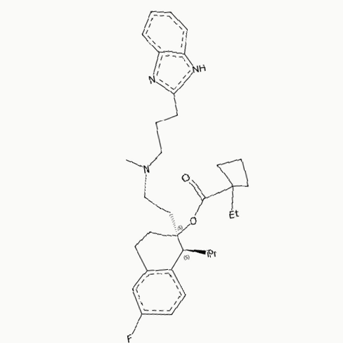 CCC1(C(=O)O[C@]2(CCN(C)CCCc3nc4ccccc4[nH]3)CCc3cc(F)ccc3[C@@H]2C(C)C)CCC1